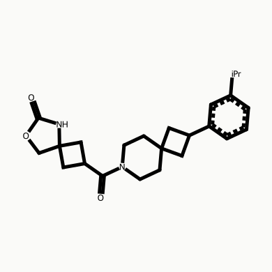 CC(C)c1cccc(C2CC3(CCN(C(=O)C4CC5(COC(=O)N5)C4)CC3)C2)c1